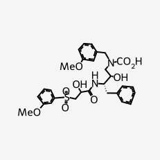 COc1cccc(CN(C[C@@H](O)[C@H](Cc2ccccc2)NC(=O)C(O)CS(=O)(=O)c2cccc(OC)c2)C(=O)O)c1